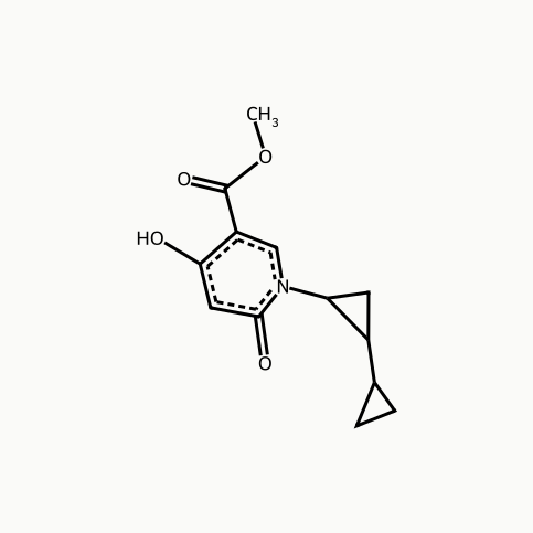 COC(=O)c1cn(C2CC2C2CC2)c(=O)cc1O